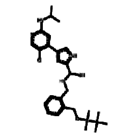 CC(C)Nc1cc(-c2c[nH]c(C(O)NCc3ccccc3CO[Si](C)(C)C(C)(C)C)c2)c(Cl)cn1